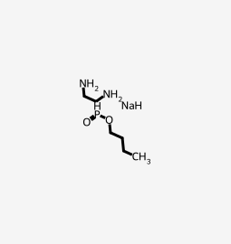 CCCCO[PH](=O)C(N)CN.[NaH]